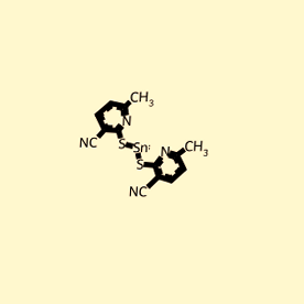 Cc1ccc(C#N)c([S][Sn][S]c2nc(C)ccc2C#N)n1